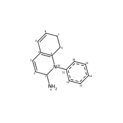 NC1C=CC2=C(CCC=C2)N1c1ccccc1